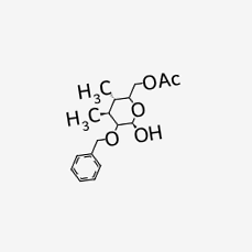 CC(=O)OCC1O[C@@H](O)C(OCc2ccccc2)[C@@H](C)[C@@H]1C